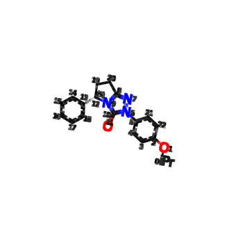 CC(C)Oc1ccc(-n2nc3n(c2=O)[C@H](c2ccccc2)CC3)cc1